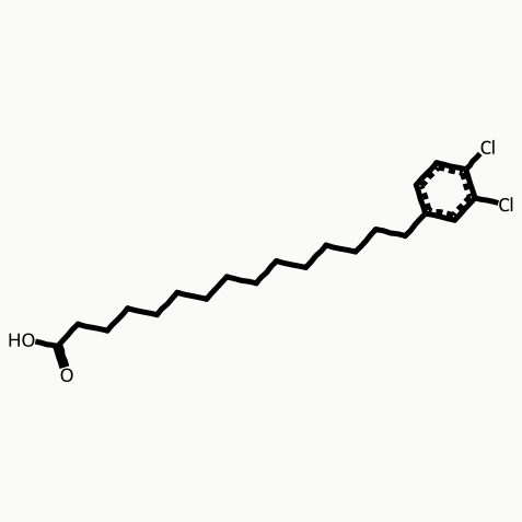 O=C(O)CCCCCCCCCCCCCCc1ccc(Cl)c(Cl)c1